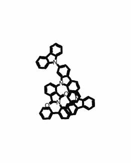 O=C1c2cccc(-n3c4cc(-n5c6ccccc6c6ccccc65)ccc4c4ccc(-n5c6ccccc6c6ccccc65)cc43)c2C(=O)N1c1c(-c2ccccc2)cccc1-c1ccccc1